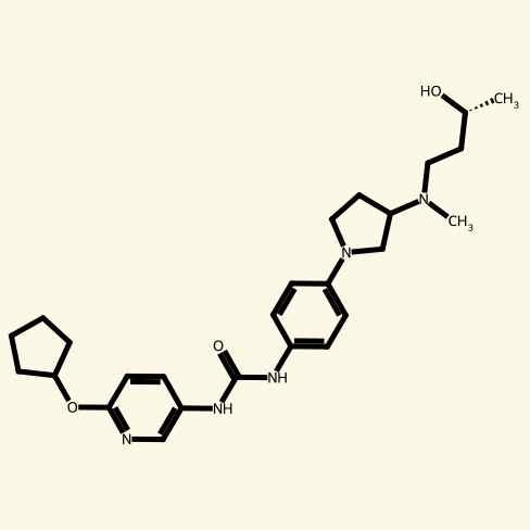 C[C@@H](O)CCN(C)C1CCN(c2ccc(NC(=O)Nc3ccc(OC4CCCC4)nc3)cc2)C1